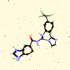 O=C(NC1=Nc2cc(C(F)(F)F)ccc2C2=NCCN12)c1ccc2[nH]cnc2c1